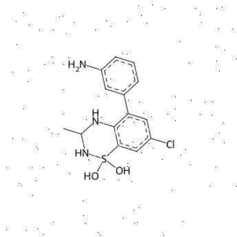 CC1Nc2c(-c3cccc(N)c3)cc(Cl)cc2S(O)(O)N1